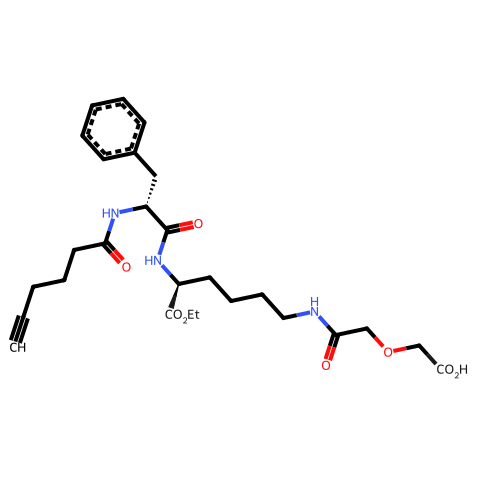 C#CCCCC(=O)N[C@H](Cc1ccccc1)C(=O)N[C@@H](CCCCNC(=O)COCC(=O)O)C(=O)OCC